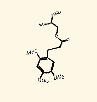 CCCCC(CC)COC(=O)CCc1cc(OC)c(OC)cc1OC